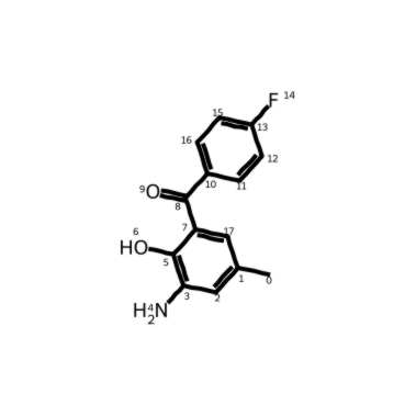 Cc1cc(N)c(O)c(C(=O)c2ccc(F)cc2)c1